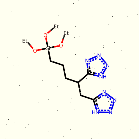 CCO[Si](CCCC(Cc1nnn[nH]1)c1nnn[nH]1)(OCC)OCC